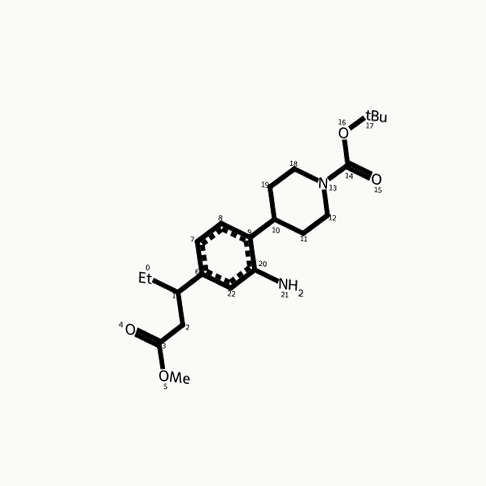 CCC(CC(=O)OC)c1ccc(C2CCN(C(=O)OC(C)(C)C)CC2)c(N)c1